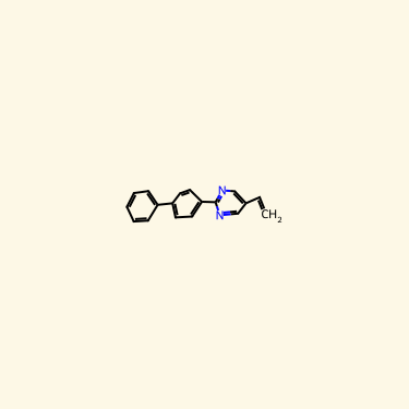 C=Cc1cnc(-c2ccc(-c3ccccc3)cc2)nc1